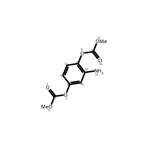 COC(=O)Oc1ccc(OC(=O)OC)c(N)c1